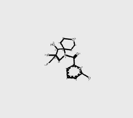 O=C(c1cccc(Cl)n1)N1CC(F)(F)C(O)C12CCOCC2